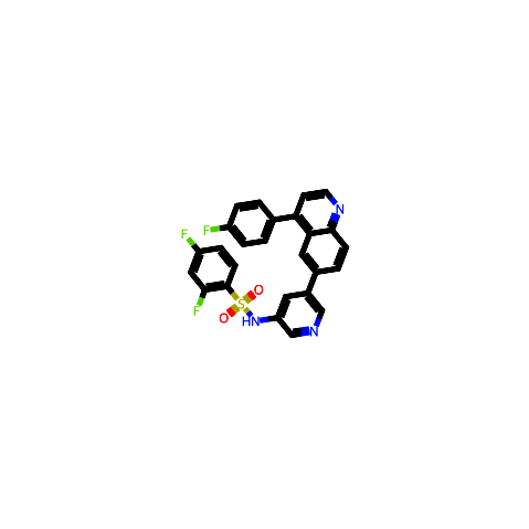 O=S(=O)(Nc1cncc(-c2ccc3nccc(-c4ccc(F)cc4)c3c2)c1)c1ccc(F)cc1F